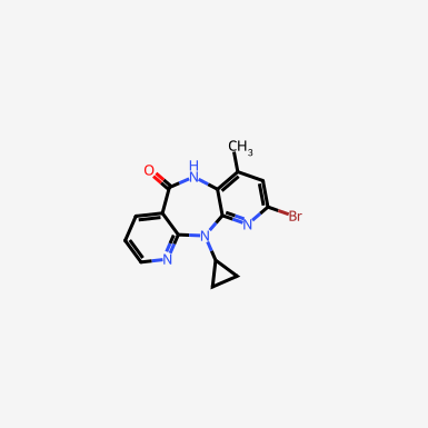 Cc1cc(Br)nc2c1NC(=O)c1cccnc1N2C1CC1